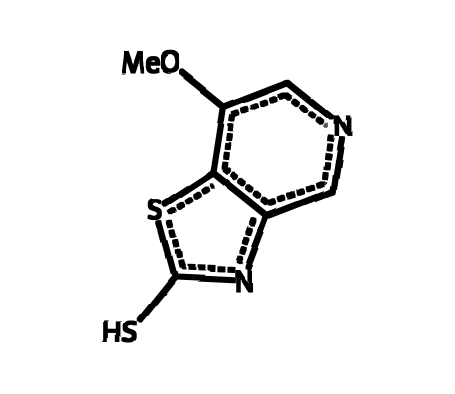 COc1cncc2nc(S)sc12